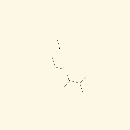 CC(O)C(=O)NC(CCC(=O)O)C(=O)O